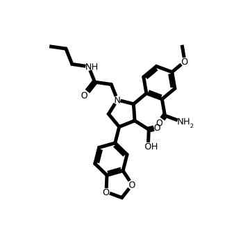 CCCNC(=O)CN1CC(c2ccc3c(c2)OCO3)C(C(=O)O)C1c1ccc(OC)cc1C(N)=O